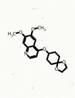 COc1cc2nccc(OC3CCC4(CC3)OCCO4)c2cc1OC